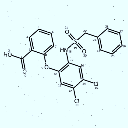 O=C(O)c1ccccc1Oc1cc(Cl)c(Cl)cc1NS(=O)(=O)Cc1ccccc1